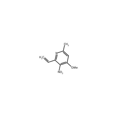 C=Cc1nc(C)cc(OC)c1[N+](=O)[O-]